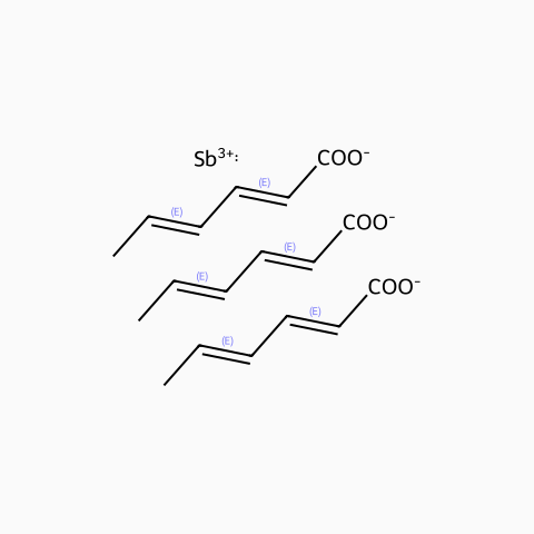 C/C=C/C=C/C(=O)[O-].C/C=C/C=C/C(=O)[O-].C/C=C/C=C/C(=O)[O-].[Sb+3]